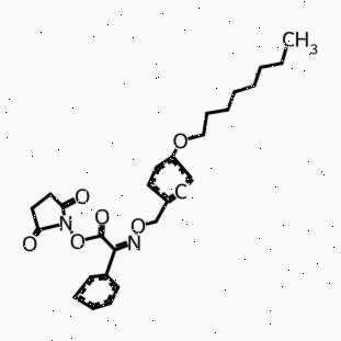 CCCCCCCCOc1ccc(CON=C(C(=O)ON2C(=O)CCC2=O)c2ccccc2)cc1